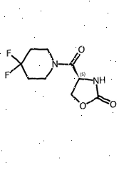 O=C1N[C@H](C(=O)N2CCC(F)(F)CC2)CO1